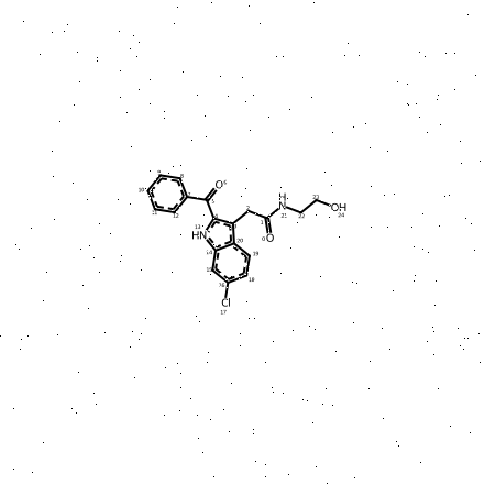 O=C(Cc1c(C(=O)c2ccccc2)[nH]c2cc(Cl)ccc12)NCCO